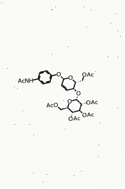 CC(=O)Nc1ccc(O[C@@H]2C=C[C@H](O[C@H]3O[C@H](COC(C)=O)[C@@H](OC(C)=O)[C@H](OC(C)=O)[C@H]3OC(C)=O)[C@@H](COC(C)=O)O2)cc1